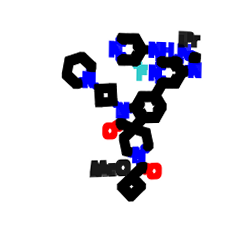 COC1(C(=O)N2CCC3(CC2)C(=O)N([C@H]2C[C@@H](N4CCCCC4)C2)c2cc(-c4cc5ncn(C(C)C)c5c(Nc5ccncc5F)n4)ccc23)CCC1